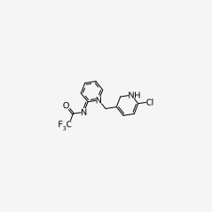 O=C(/N=c1\ccccn1CC1=CC=C(Cl)NC1)C(F)(F)F